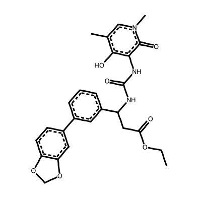 CCOC(=O)CC(NC(=O)Nc1c(O)c(C)cn(C)c1=O)c1cccc(-c2ccc3c(c2)OCO3)c1